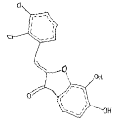 O=C1C(=Cc2cccc(Cl)c2Cl)Oc2c1ccc(O)c2O